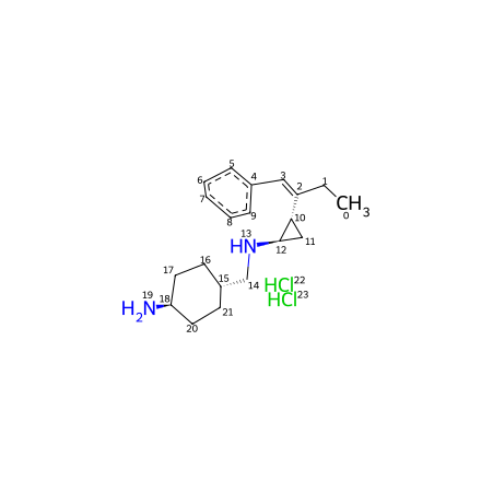 CCC(=Cc1ccccc1)[C@@H]1C[C@H]1NC[C@H]1CC[C@H](N)CC1.Cl.Cl